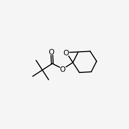 CC(C)(C)C(=O)OC12CCCCC1O2